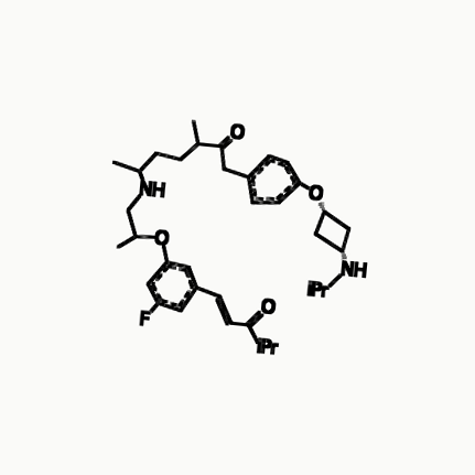 CC(CCC(C)C(=O)Cc1ccc(O[C@H]2C[C@@H](NC(C)C)C2)cc1)NCC(C)Oc1cc(F)cc(/C=C/C(=O)C(C)C)c1